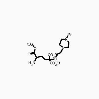 CCOC(=O)C(CCC(N)C(=O)OC(C)(C)C)(OCCN1CCN(C(C)C)CC1)C(=O)OCC